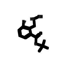 CC(C)(C)OC(=O)c1cccc(Br)c1CNO